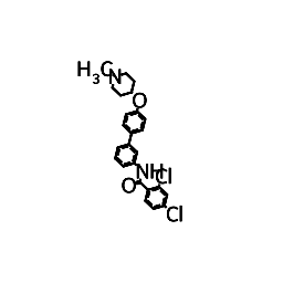 CN1CCC(Oc2ccc(-c3cccc(NC(=O)c4ccc(Cl)cc4Cl)c3)cc2)CC1